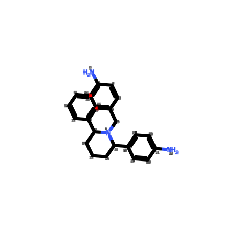 Nc1ccc(CN2C(c3ccccc3)CCCC2c2ccc(N)cc2)cc1